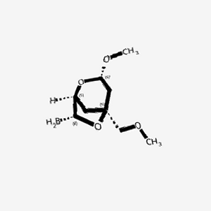 B[C@H]1O[C@]2(COC)C[C@@H](OC)O[C@H]1C2